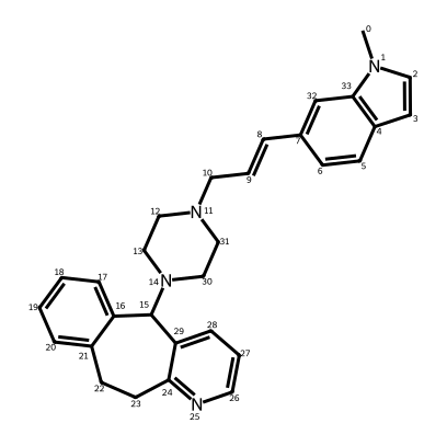 Cn1ccc2ccc(C=CCN3CCN(C4c5ccccc5CCc5ncccc54)CC3)cc21